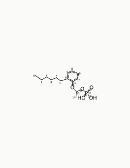 CCCCCCc1ccccc1OC(C)OP(=O)(O)O